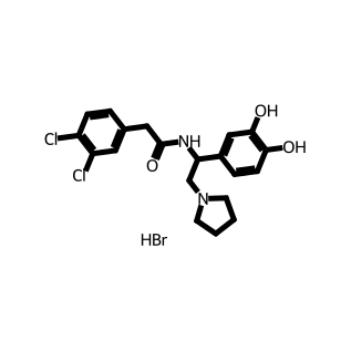 Br.O=C(Cc1ccc(Cl)c(Cl)c1)NC(CN1CCCC1)c1ccc(O)c(O)c1